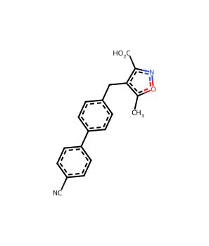 Cc1onc(C(=O)O)c1Cc1ccc(-c2ccc(C#N)cc2)cc1